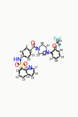 O=C(c1ccc(NS(=O)(=O)c2cccc3cccnc23)cc1)N1CCN(c2ccccc2OC(F)(F)F)CC1